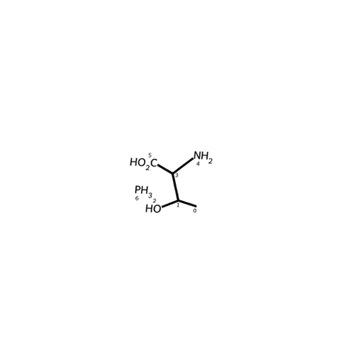 CC(O)C(N)C(=O)O.P